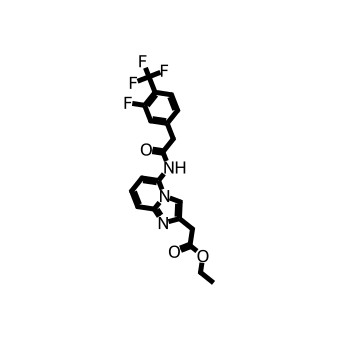 CCOC(=O)Cc1cn2c(NC(=O)Cc3ccc(C(F)(F)F)c(F)c3)cccc2n1